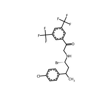 CC(C[C@H](Br)NCC(=O)c1cc(C(F)(F)F)cc(C(F)(F)F)c1)c1ccc(Cl)cc1